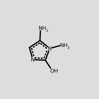 Nc1cnc(O)n1N